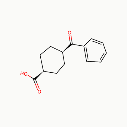 O=C(O)[C@H]1CC[C@@H](C(=O)c2ccccc2)CC1